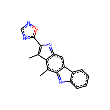 CC1=C(c2ncno2)N=c2cc3c(c(C)c21)=Nc1ccccc1-3